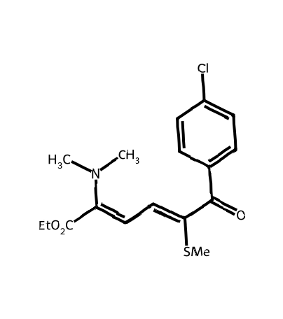 CCOC(=O)C(=CC=C(SC)C(=O)c1ccc(Cl)cc1)N(C)C